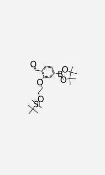 CC1(C)OB(c2ccc(C=O)c(OCCO[Si](C)(C)C(C)(C)C)c2)OC1(C)C